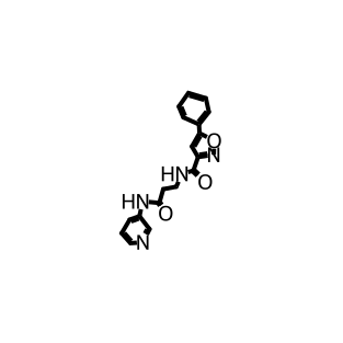 O=C(CCNC(=O)c1cc(-c2ccccc2)on1)Nc1cccnc1